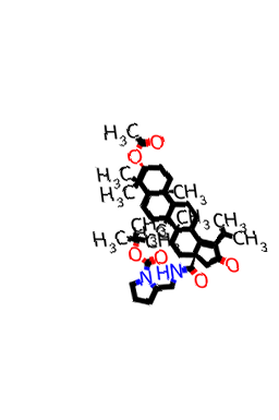 CC(=O)O[C@H]1CC[C@@]2(C)C(CC[C@]3(C)C2CCC2C4=C(C(C)C)C(=O)C[C@]4(C(=O)NCC4CCCN4C(=O)OC(C)(C)C)CC[C@]23C)C1(C)C